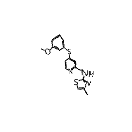 COc1cccc(Sc2ccnc(Nc3nc(C)cs3)c2)c1